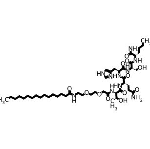 CCCCCCCCCCCCCCCC(=O)NCCOCCOCC(=O)N[C@H](C(=O)N[C@@H](CCC(N)=O)C(=O)N[C@@H](Cc1c[nH]cn1)C(=O)N[C@@H](CO)C(=O)N[C@@H](CCCC)C(N)=O)[C@@H](C)O